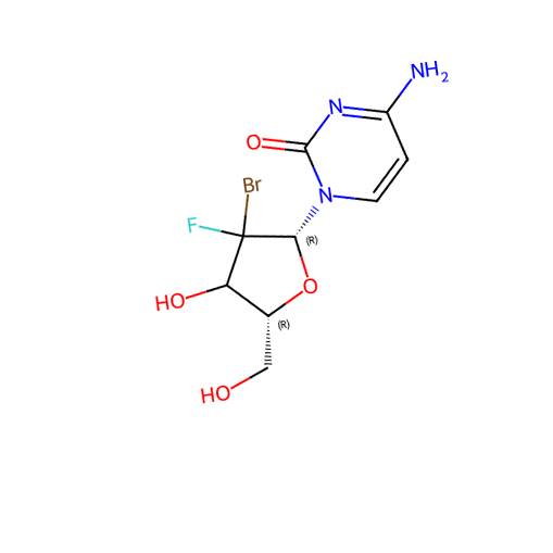 Nc1ccn([C@@H]2O[C@H](CO)C(O)C2(F)Br)c(=O)n1